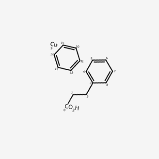 O=C(O)CCc1ccccc1.[Cu].c1ccccc1